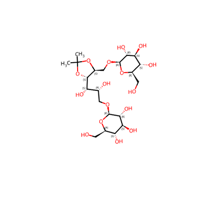 CC1(C)O[C@@H]([C@@H](O)[C@H](O)CO[C@@H]2O[C@H](CO)[C@@H](O)[C@H](O)[C@H]2O)[C@H](CO[C@@H]2O[C@H](CO)[C@@H](O)[C@H](O)[C@H]2O)O1